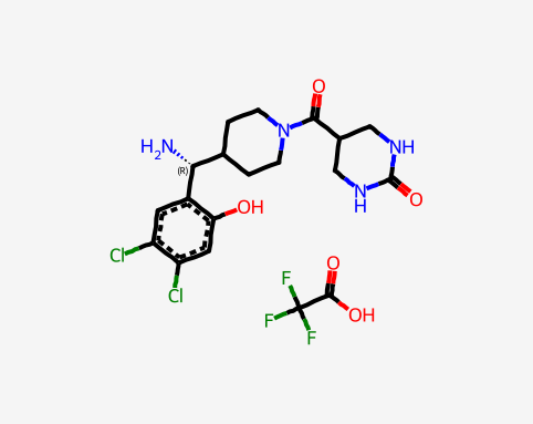 N[C@@H](c1cc(Cl)c(Cl)cc1O)C1CCN(C(=O)C2CNC(=O)NC2)CC1.O=C(O)C(F)(F)F